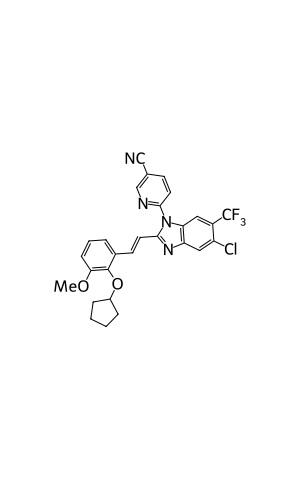 COc1cccc(/C=C/c2nc3cc(Cl)c(C(F)(F)F)cc3n2-c2ccc(C#N)cn2)c1OC1CCCC1